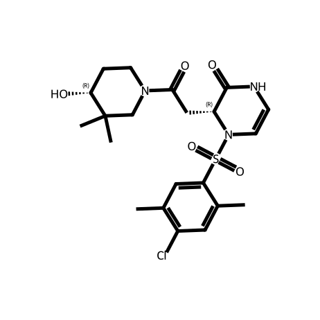 Cc1cc(S(=O)(=O)N2C=CNC(=O)[C@H]2CC(=O)N2CC[C@@H](O)C(C)(C)C2)c(C)cc1Cl